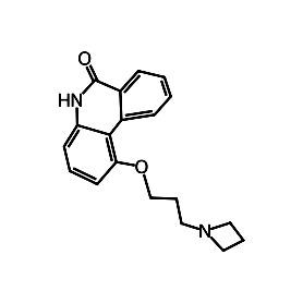 O=c1[nH]c2cccc(OCCCN3CCC3)c2c2ccccc12